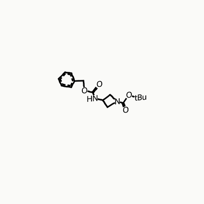 CC(C)(C)OC(=O)N1CC(NC(=O)OCc2ccccc2)C1